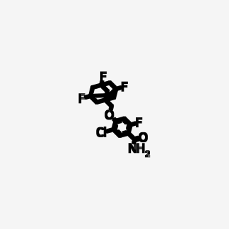 NC(=O)c1cc(Cl)c(OCC23CC4(F)CC(F)(CC(F)(C4)C2)C3)cc1F